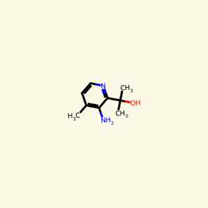 Cc1ccnc(C(C)(C)O)c1N